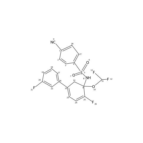 N#Cc1ccc(S(=O)(=O)NC2(OC(F)F)CC(c3cccc(F)c3)=CC=C2F)cc1